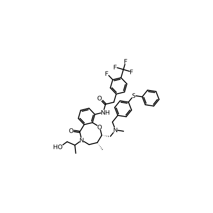 CC(CO)N1C[C@@H](C)[C@@H](CN(C)Cc2ccc(Sc3ccccc3)cc2)Oc2c(NC(=O)Cc3ccc(C(F)(F)F)c(F)c3)cccc2C1=O